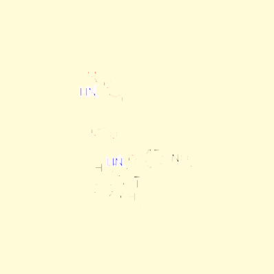 Cc1ccccc1C(C)(C)C1(NCCOC(=O)CC[C@@H]2NC(=O)OC2=O)C=Cc2cc([N+](=O)[O-])ccc2O1